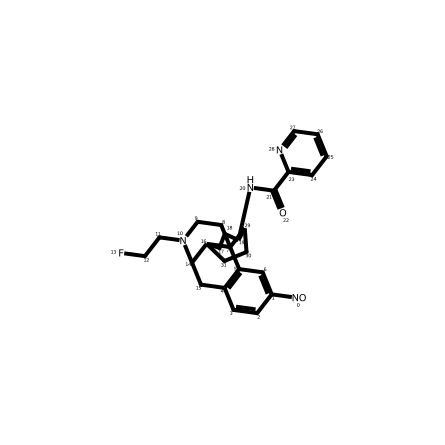 O=Nc1ccc2c(c1)C13CCN(CCF)C(C2)C12CCC(NC(=O)c1ccccn1)C3CC2